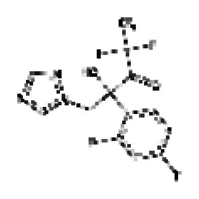 O=C(C(O)(Cn1cncn1)c1ccc(F)cc1F)C(F)(F)C(F)(F)F